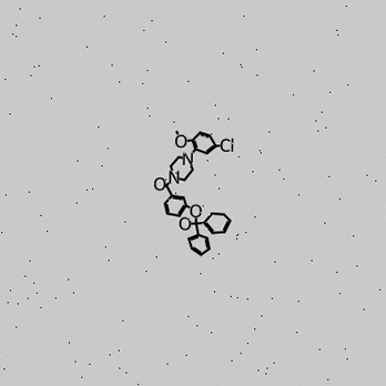 COc1ccc(Cl)cc1N1CCN(C(=O)c2ccc3c(c2)OC(C2=CC=CCC2)(c2ccccc2)O3)CC1